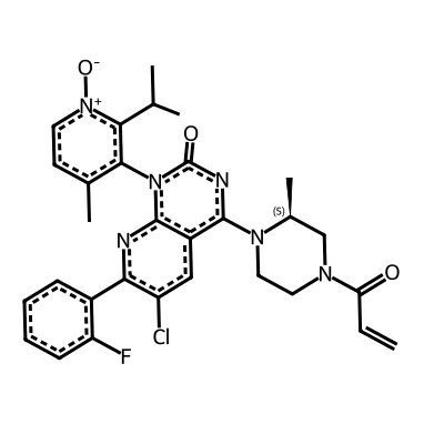 C=CC(=O)N1CCN(c2nc(=O)n(-c3c(C)cc[n+]([O-])c3C(C)C)c3nc(-c4ccccc4F)c(Cl)cc23)[C@@H](C)C1